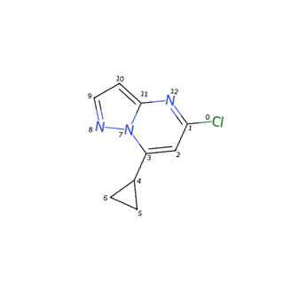 Clc1cc(C2CC2)n2nccc2n1